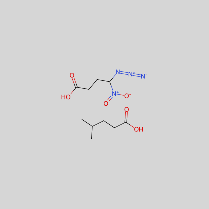 CC(C)CCC(=O)O.[N-]=[N+]=NC(CCC(=O)O)[N+](=O)[O-]